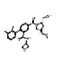 CO/N=C1\C[C@@H](CO)N(C(=O)c2ccc(-c3cccc(C)c3C)c(C(=O)NC3COC3)c2)C1